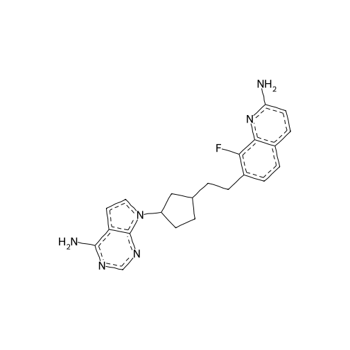 Nc1ccc2ccc(CCC3CCC(n4ccc5c(N)ncnc54)C3)c(F)c2n1